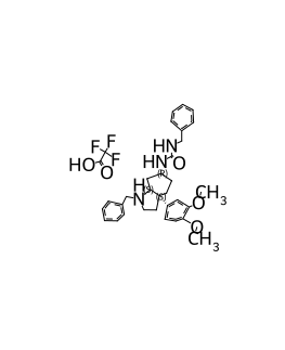 COc1ccc([C@@]23CC[C@@H](NC(=O)NCc4ccccc4)C[C@@H]2N(Cc2ccccc2)CC3)cc1OC.O=C(O)C(F)(F)F